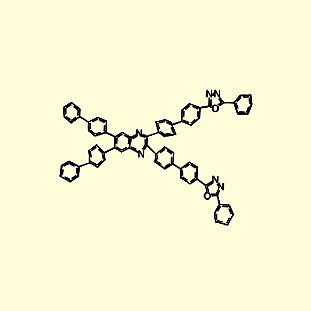 c1ccc(-c2ccc(-c3cc4nc(-c5ccc(-c6ccc(-c7nnc(-c8ccccc8)o7)cc6)cc5)c(-c5ccc(-c6ccc(-c7nnc(-c8ccccc8)o7)cc6)cc5)nc4cc3-c3ccc(-c4ccccc4)cc3)cc2)cc1